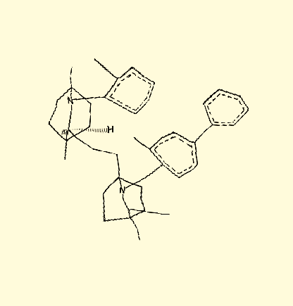 Cc1ccccc1N1[C@@H](CCC23CCC(C)(CC2)C(C)N3c2ccc(-c3ccccc3)cc2C)C2(C)CCC1(C)CC2